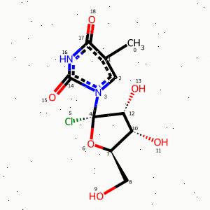 Cc1cn([C@]2(Cl)O[C@H](CO)[C@@H](O)[C@H]2O)c(=O)[nH]c1=O